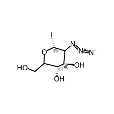 [N-]=[N+]=NC1[C@@H](O)[C@H](O)C(CO)O[C@@H]1I